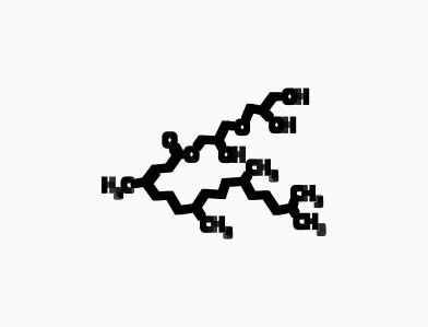 CC(=CCC(=O)OCC(O)COCC(O)CO)CCCC(C)CCCC(C)CCCC(C)C